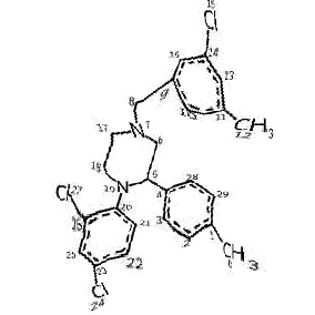 Cc1ccc(C2CN(Cc3cc(C)cc(Cl)c3)CCN2c2ccc(Cl)cc2Cl)cc1